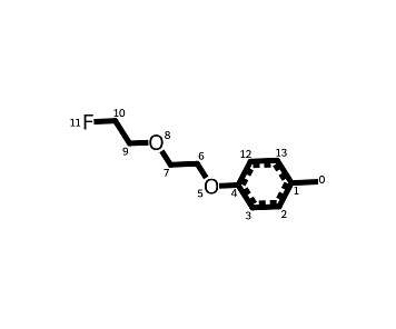 Cc1ccc(OCCOCCF)cc1